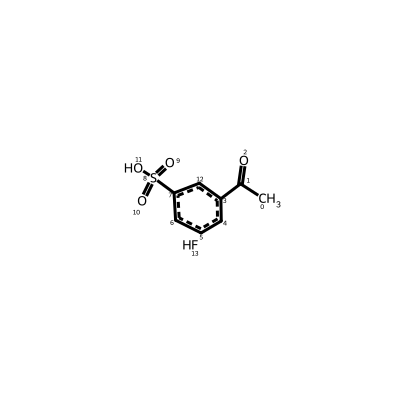 CC(=O)c1cccc(S(=O)(=O)O)c1.F